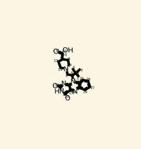 CC(C)(C)C(CN1CCC(C(=O)O)CC1)n1c2nc(=O)[nH]c(=O)c-2nc2ccccc21